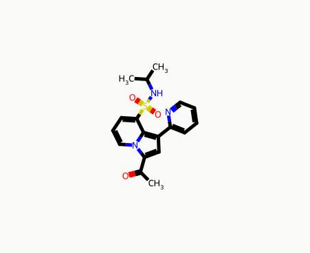 CC(=O)c1cc(-c2ccccn2)c2c(S(=O)(=O)NC(C)C)cccn12